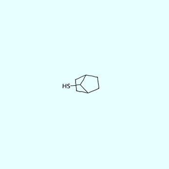 SC1C2CCC1CC2